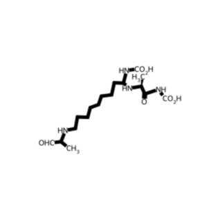 CC(C=O)NCCCCCCCCC(NC(=O)O)N[C@@H](C)C(=O)NC(=O)O